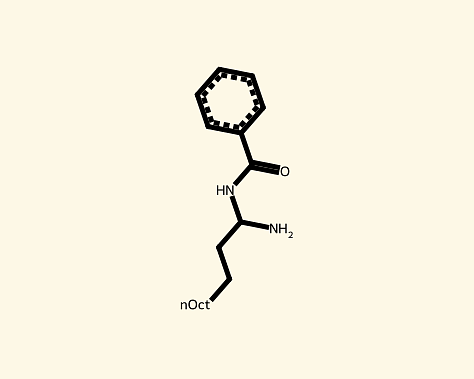 CCCCCCCCCCC(N)NC(=O)c1ccccc1